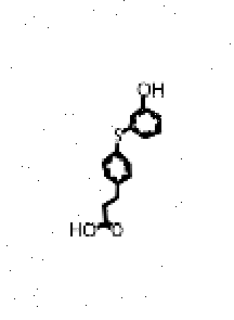 O=C(O)CCc1ccc(Sc2cccc(O)c2)cc1